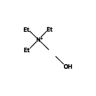 CC[N+](C)(CC)CC.CO